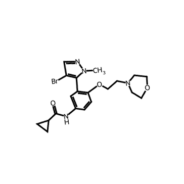 Cn1ncc(Br)c1-c1cc(NC(=O)C2CC2)ccc1OCCN1CCOCC1